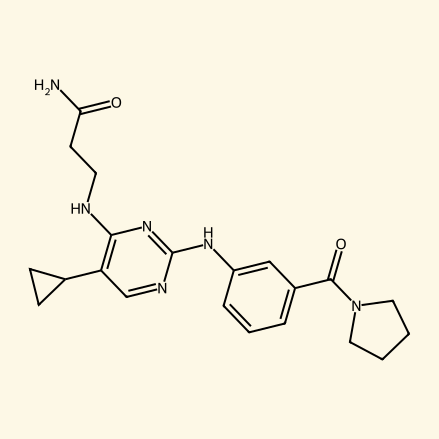 NC(=O)CCNc1nc(Nc2cccc(C(=O)N3CCCC3)c2)ncc1C1CC1